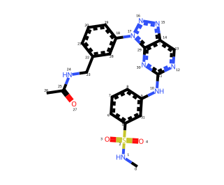 CNS(=O)(=O)c1cccc(Nc2ncc3nnn(-c4cccc(CNC(C)=O)c4)c3n2)c1